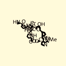 CCn1c(-c2cccnc2[C@H](C)OC)c2c3cc(ccc31)-c1cc(O)cc(c1)C[C@H](NC(=O)[C@H](C(C)C)N(C)C(=O)[C@]1(F)CCN(C(=O)[C@@H]3CN3)C1)C(=O)N1CCC[C@H](N1)C(=O)OCC(C)(C)C2